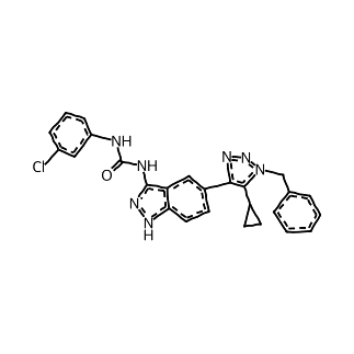 O=C(Nc1cccc(Cl)c1)Nc1n[nH]c2ccc(-c3nnn(Cc4ccccc4)c3C3CC3)cc12